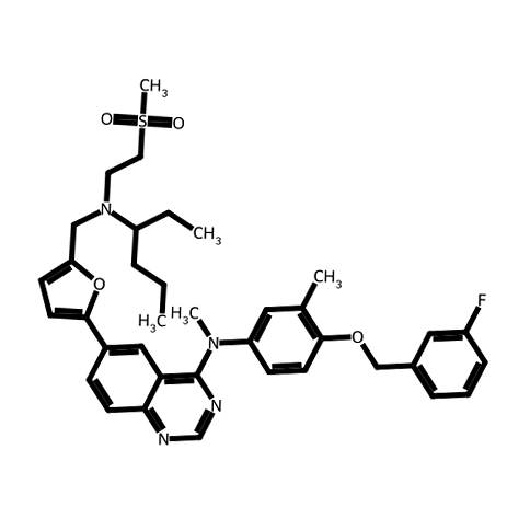 CCCC(CC)N(CCS(C)(=O)=O)Cc1ccc(-c2ccc3ncnc(N(C)c4ccc(OCc5cccc(F)c5)c(C)c4)c3c2)o1